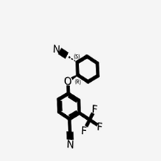 N#Cc1ccc(O[C@@H]2CCCC[C@H]2C#N)cc1C(F)(F)F